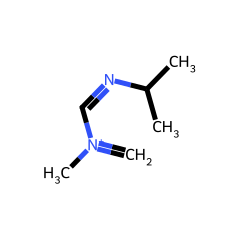 C=[N+](C)/C=N\C(C)C